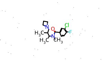 CC(CN1CCC1)C(C)N(C)C(=O)c1ccc(F)c(Cl)c1